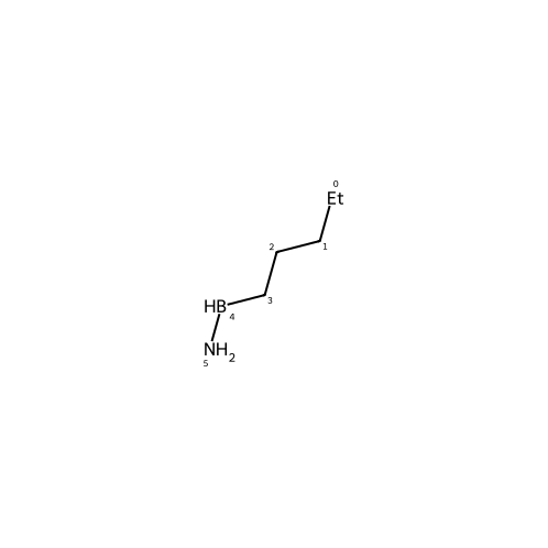 CCCCCBN